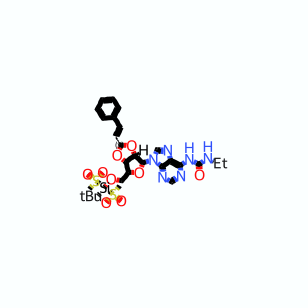 CCNC(=O)Nc1ncnc2c1ncn2C1OC(CO[Si](C(C)(C)C)(S(C)(=O)=O)S(C)(=O)=O)C2O[C@H](C=Cc3ccccc3)O[C@@H]21